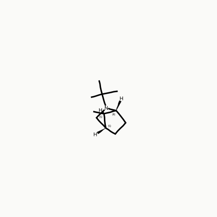 C[C@H]1[C@@H]2CC[C@H]1N(C(C)(C)C)C2